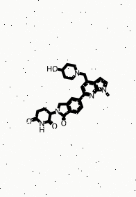 Cn1ccc2c(CN3CCC(O)CC3)cc(-c3ccc4c(c3)CN(C3CCC(=O)NC3=O)C4=O)nc21